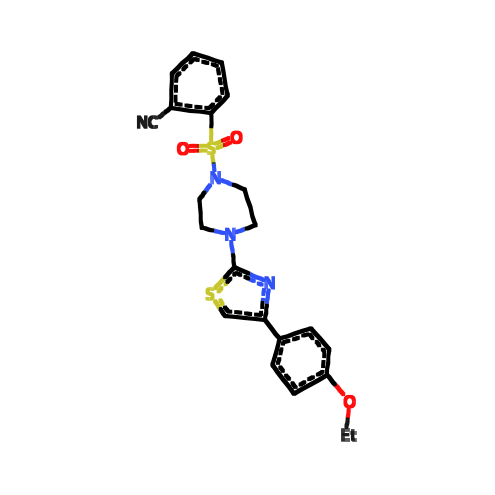 CCOc1ccc(-c2csc(N3CCN(S(=O)(=O)c4ccccc4C#N)CC3)n2)cc1